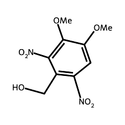 COc1cc([N+](=O)[O-])c(CO)c([N+](=O)[O-])c1OC